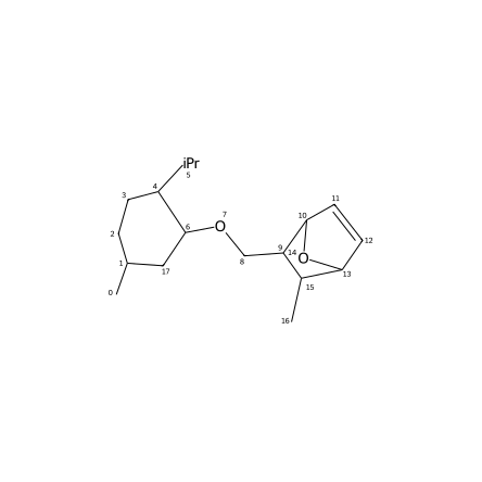 CC1CCC(C(C)C)C(OCC2C3C=CC(O3)C2C)C1